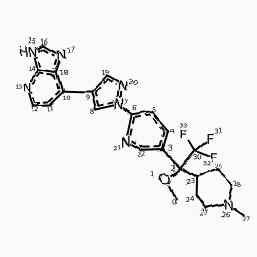 COC(c1ccc(-n2cc(-c3ccnc4[nH]cnc34)cn2)nc1)(C1CCN(C)CC1)C(F)(F)F